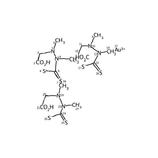 CN(CC(=O)O)N(C)C(=S)[S-].CN(CC(=O)O)N(C)C(=S)[S-].CN(CC(=O)O)N(C)C(=S)[S-].[Au+3]